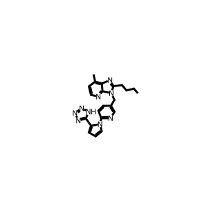 CCCCc1nc2c(C)ccnc2n1Cc1ccc(-n2cccc2-c2nnn[nH]2)nc1